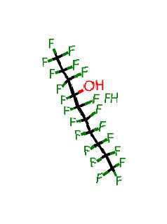 F.OC(F)(C(F)(F)C(F)(F)C(F)(F)F)C(F)(F)C(F)(F)C(F)(F)C(F)(F)C(F)(F)C(F)(F)F